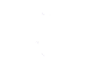 O=C1CCc2ccc(CCN3CCN(c4cc(F)cc5sccc45)CC3)cc2N1C(=O)C1CCCCC1